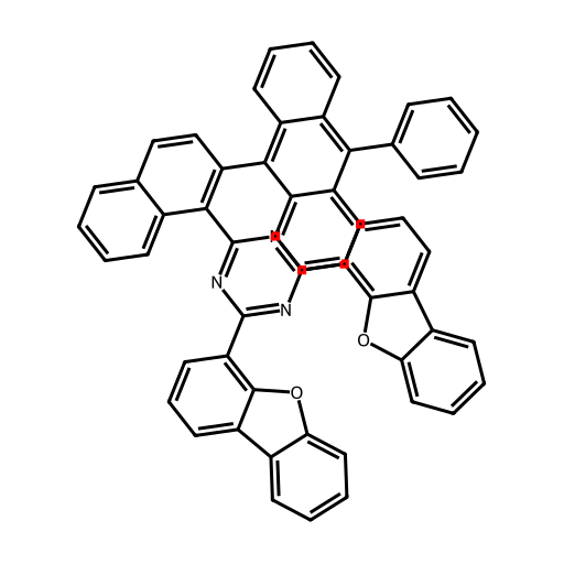 c1ccc(-c2c3ccccc3c(-c3ccc4ccccc4c3-c3nc(-c4cccc5c4oc4ccccc45)nc(-c4cccc5c4oc4ccccc45)n3)c3ccccc23)cc1